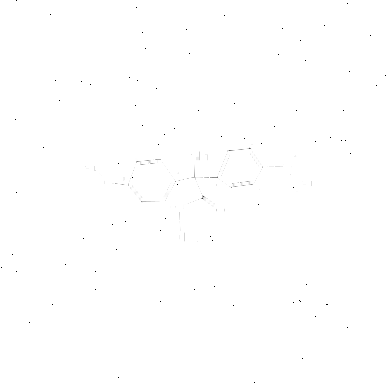 CCCC(C(=O)OC(C)(C)C)(c1ccc(OC(C)(C)C)cc1)c1ccc(OC(C)(C)C)cc1